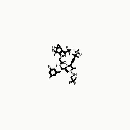 C=C(/N=C(/C#CC(C)(C)S(C)(=O)=O)C(C)NNCC(F)(F)F)[C@H](Cc1cc(F)cc(F)c1)NC(=O)Cn1nc(C(F)(F)F)c2c1C(F)(F)[C@@H]1CC21